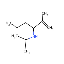 C=C(C)C(CCC)NC(C)C